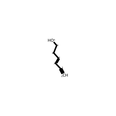 C#C/C=C/CCO